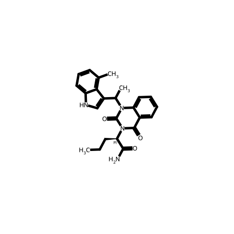 CCC[C@H](C(N)=O)n1c(=O)c2ccccc2n(C(C)c2c[nH]c3cccc(C)c23)c1=O